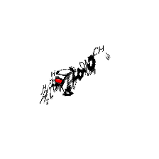 Cc1ccc(NC(=O)c2ccc(-c3nc(C4CCCN4C(=O)OC(C)(C)C)n(N)c3C(=O)O)cc2)nc1